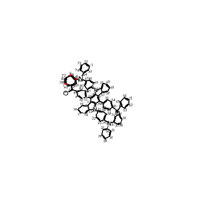 O=C(c1ccccc1)c1ccc(-c2c3c4ccccc4n(-c4ccc(N(c5ccccc5)c5ccccc5)cc4)c3c(-c3ccc(C(=O)c4ccccc4)cc3)c3c4ccccc4n(-c4ccc(N(c5ccccc5)c5ccccc5)cc4)c23)cc1